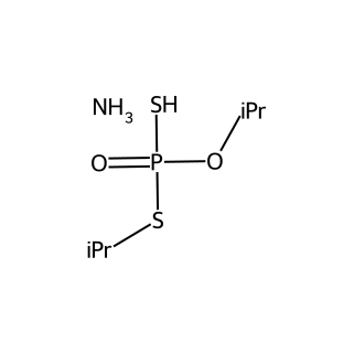 CC(C)OP(=O)(S)SC(C)C.N